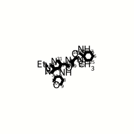 CCn1ncc2c(NC3CCOCC3)c(-c3nc(C(=O)N(C)C4(CN)CCCCC4)co3)cnc21